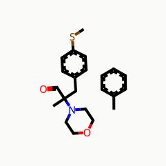 CSc1ccc(CC(C)(C=O)N2CCOCC2)cc1.Cc1ccccc1